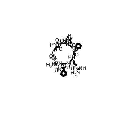 C[C@@H]1C(=O)N[C@@H](Cc2cnc[nH]2)C(=O)N[C@H](Cc2ccccc2)C(=O)N[C@@H](CCCNC(=N)N)C(=O)N[C@@H](Cc2c[nH]c3ccccc23)C(=O)N[C@H](C(N)=O)CNC(=O)CC[C@@H]2NC(=O)N1C2=O